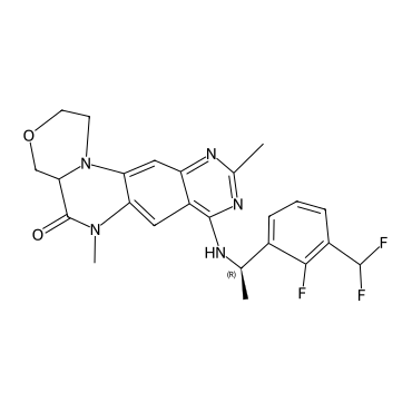 Cc1nc(N[C@H](C)c2cccc(C(F)F)c2F)c2cc3c(cc2n1)N1CCOCC1C(=O)N3C